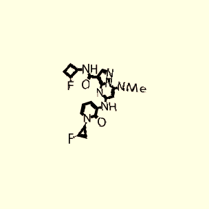 CNc1cc(Nc2cccn([C@H]3C[C@@H]3F)c2=O)nc2c(C(=O)NC3CC[C@H]3F)cnn12